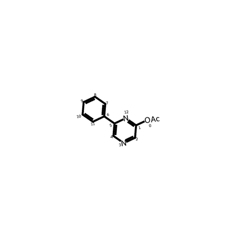 CC(=O)Oc1cncc(-c2ccccc2)n1